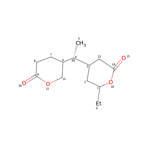 CCC1CC([C@@H](C)C2CCC(=O)OC2)CC(=O)O1